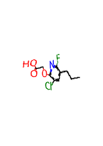 CCCc1cc(Cl)c(OCC(=O)O)nc1F